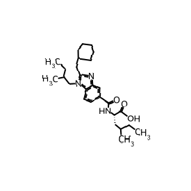 CCC(C)C[C@H](NC(=O)c1ccc2c(c1)nc(CC1CCCCC1)n2CC(C)CC)C(=O)O